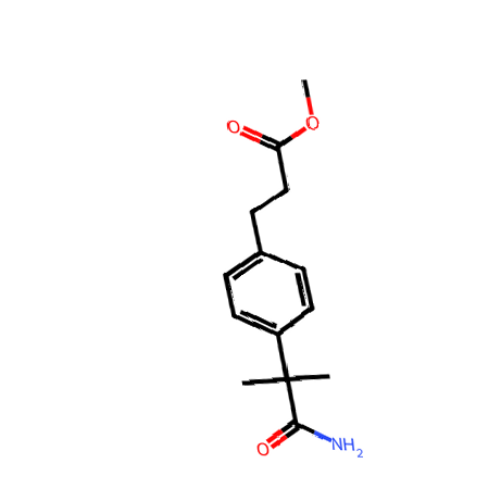 COC(=O)CCc1ccc(C(C)(C)C(N)=O)cc1